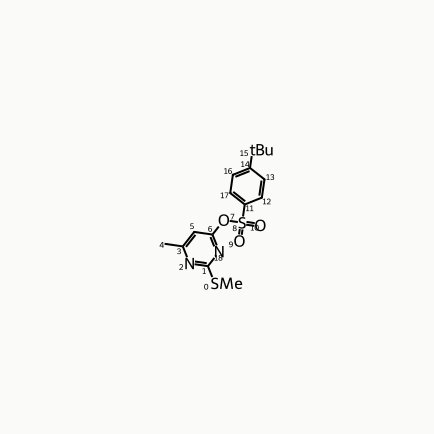 CSc1nc(C)cc(OS(=O)(=O)c2ccc(C(C)(C)C)cc2)n1